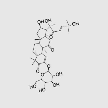 CC(C)(O)/C=C/C(=O)[C@](C)(O)C1[C@H](O)C[C@@]2(C)C3CC=C4C(C=C(O[C@@H]5OC(CO)[C@@H](O)[C@H](O)C5O)C(=O)C4(C)C)[C@]3(C)C(=O)C[C@]12C